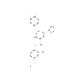 COP1(=O)N=C(c2c(O)c(-c3ccsc3)nn(Cc3ccc(F)c(Cl)c3)c2=O)Nc2ccc(NS(C)(=O)=O)cc21